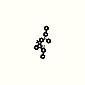 CC1(C)c2ccc(N(c3ccccc3)c3ccc(-c4ccccc4)cc3)cc2-c2c1c1ccccc1c1c2oc2ccc(-c3ccccc3)cc21